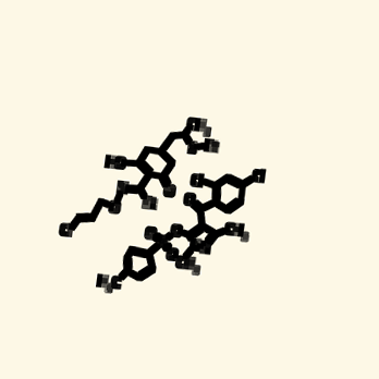 CCSC(C)CC1CC(=O)C(/C(CC)=N/OC/C=C/Cl)=C(O)C1.Cc1ccc(S(=O)(=O)Oc2c(C(=O)c3ccc(Cl)cc3Cl)c(C)nn2C)cc1